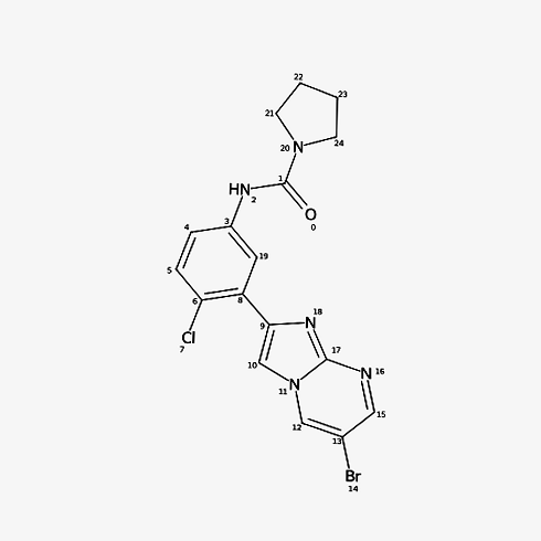 O=C(Nc1ccc(Cl)c(-c2cn3cc(Br)cnc3n2)c1)N1CCCC1